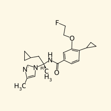 Cc1cn([C@](C)(CC2CC2)NC(=O)c2ccc(C3CC3)c(OCCF)c2)cn1